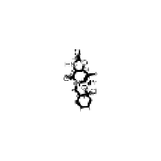 Cc1cn(CC2C=CC=CC2(Cl)OC(C)C)c(=O)c2[nH]c(=O)oc12